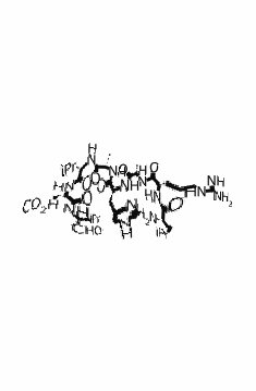 CC(C)C[C@H](N)C(=O)N[C@@H](CCCNC(=N)N)C(=O)N[C@@H](C)C(=O)N[C@@H](Cc1c[nH]cn1)C(=O)N[C@@H](C)C(=O)N[C@H](C(=O)N[C@@H](CC(=O)O)C(=O)N[C@H]([C]=O)C(C)C)C(C)C